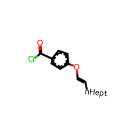 CCCCCCCC=COc1ccc(C(=O)Cl)cc1